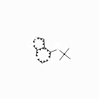 CC(C)(C)Nc1ncnc2[nH]ncc12